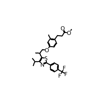 COC(=O)CCc1ccc(OCC(C)c2sc(-c3ccc(C(F)(F)F)cc3)nc2C(C)C)cc1C